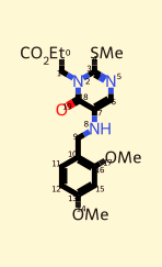 CCOC(=O)Cn1c(SC)ncc(NCc2ccc(OC)cc2OC)c1=O